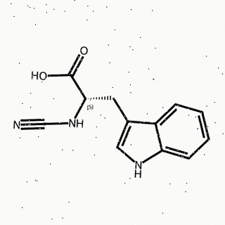 N#CN[C@@H](Cc1c[nH]c2ccccc12)C(=O)O